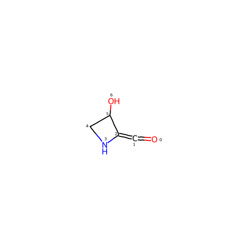 O=C=C1NCC1O